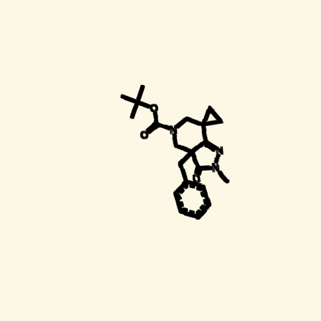 CN1N=C2C3(CC3)CN(C(=O)OC(C)(C)C)CC2(Cc2ccccc2)C1=O